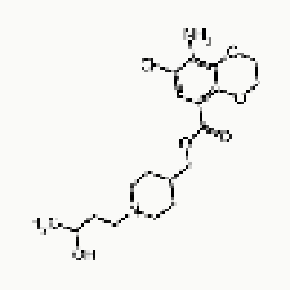 CC(O)CCN1CCC(COC(=O)c2cc(Cl)c(N)c3c2OCCO3)CC1